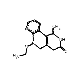 CCON1CC2=C(c3cccnc31)C(C)NC(=O)C2